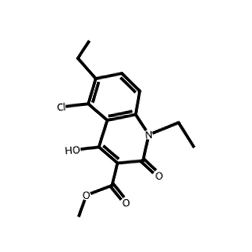 CCc1ccc2c(c(O)c(C(=O)OC)c(=O)n2CC)c1Cl